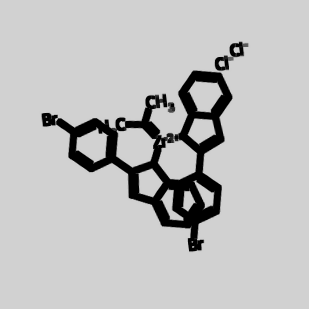 C[C](C)=[Zr+2]([CH]1C(c2ccc(Br)cc2)=Cc2ccccc21)[CH]1C(c2ccc(Br)cc2)=Cc2ccccc21.[Cl-].[Cl-]